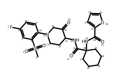 CS(=O)(=O)c1cc(F)ccc1N1CCC(NC(=O)C2(NC(=O)c3ccco3)CCCCC2)C(=O)C1